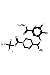 COC(=O)c1cc(F)c(Br)c(NC(C)C2CCN(C(=O)OC(C)(C)C)CC2)c1